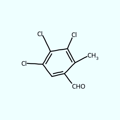 Cc1c(C=O)cc(Cl)c(Cl)c1Cl